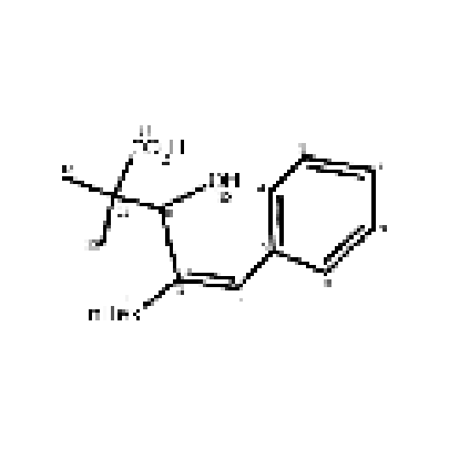 CCCCCCC(=Cc1ccccc1)C(O)C(C)(C)C(=O)O